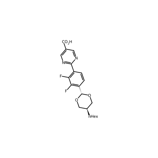 CCCCCC[C@H]1CO[C@H](c2ccc(-c3ncc(C(=O)O)cn3)c(F)c2F)OC1